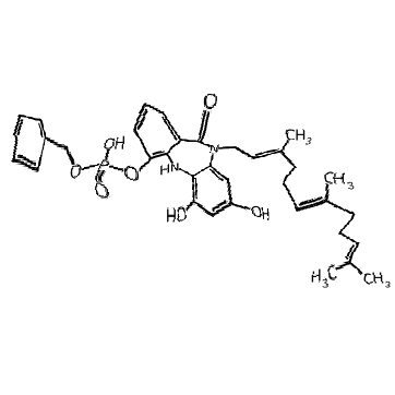 CC(C)=CCC/C(C)=C/CC/C(C)=C/CN1C(=O)c2cccc(OP(=O)(O)OCc3ccccc3)c2Nc2c(O)cc(O)cc21